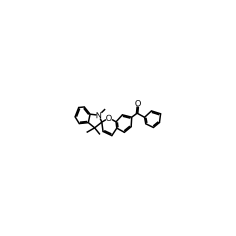 CN1c2ccccc2C(C)(C)C12C=Cc1ccc(C(=O)c3ccccc3)cc1O2